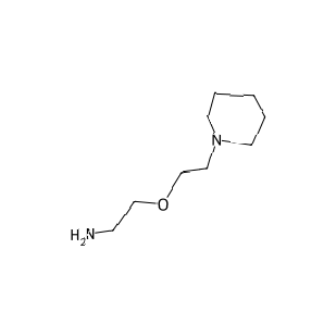 NCCOCCN1CCCCC1